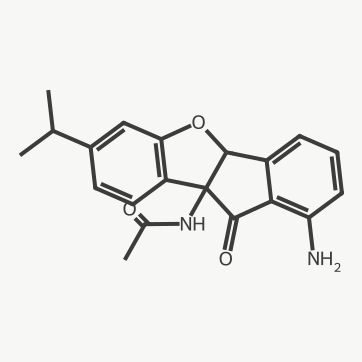 CC(=O)NC12[C](Oc3cc(C(C)C)ccc31)c1cccc(N)c1C2=O